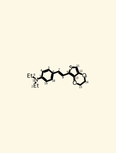 CCN(CC)c1ccc(C=Cc2scc3c2OCCO3)cc1